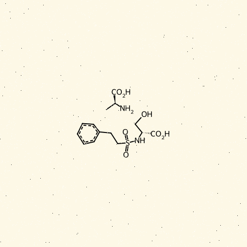 C[C@H](N)C(=O)O.O=C(O)[C@@H](CO)NS(=O)(=O)CCc1ccccc1